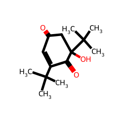 CC(C)(C)C1=CC(=O)CC(O)(C(C)(C)C)C1=O